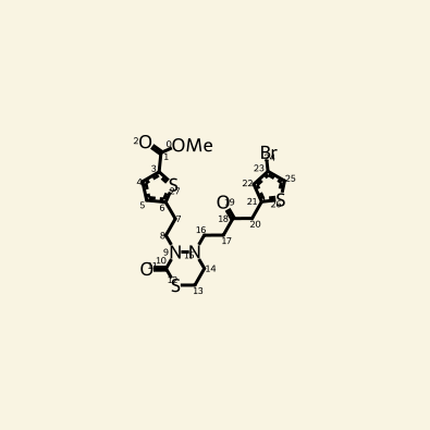 COC(=O)c1ccc(CCN2C(=O)SCCN2CCC(=O)Cc2cc(Br)cs2)s1